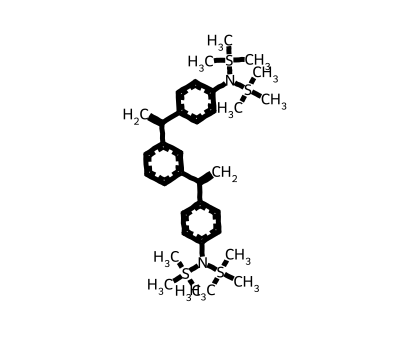 C=C(c1ccc(N(S(C)(C)C)S(C)(C)C)cc1)c1cccc(C(=C)c2ccc(N(S(C)(C)C)S(C)(C)C)cc2)c1